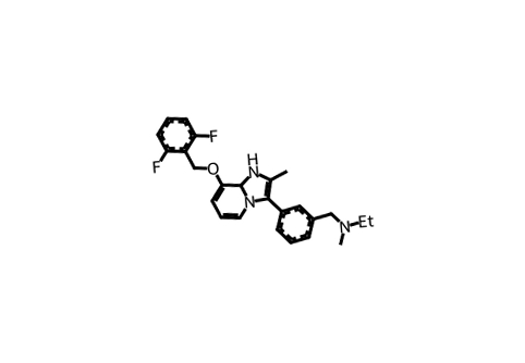 CCN(C)Cc1cccc(C2=C(C)NC3C(OCc4c(F)cccc4F)=CC=CN23)c1